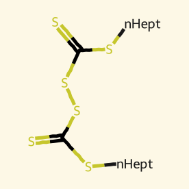 CCCCCCCSC(=S)SSC(=S)SCCCCCCC